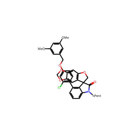 CCCCCN1C(=O)C2(COc3cc4c(cc32)OCO4)c2c(-c3ccc(OCc4cc(OC)cc(OC)c4)cc3Cl)cccc21